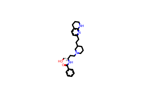 O=C(N[C@H](CO)CCN1CCCC(CCc2ccc3c(n2)NCCC3)C1)c1ccccc1